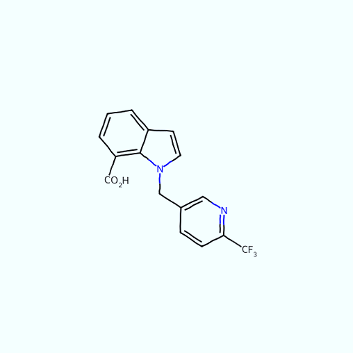 O=C(O)c1cccc2ccn(Cc3ccc(C(F)(F)F)nc3)c12